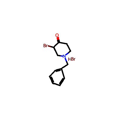 Br.O=C1CCN(Cc2ccccc2)CC1Br